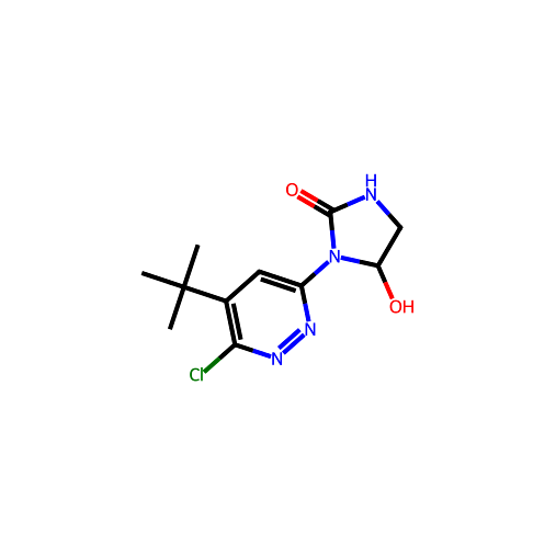 CC(C)(C)c1cc(N2C(=O)NCC2O)nnc1Cl